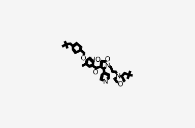 Cc1cc(C(=O)C2=C(O)C(=O)N(CCCN3CCOCC3CC(C)(C)C)C2c2ccncc2)ccc1OCc1ccc(CC(C)(C)C)cc1